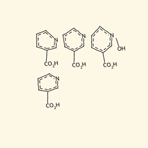 CO.O=C(O)c1cccnc1.O=C(O)c1cccnc1.O=C(O)c1cccnc1.O=C(O)c1cccnc1